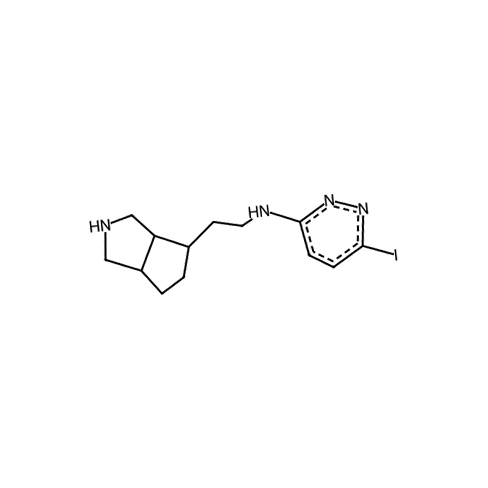 Ic1ccc(NCCC2CCC3CNCC23)nn1